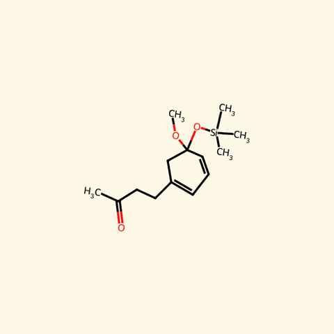 COC1(O[Si](C)(C)C)C=CC=C(CCC(C)=O)C1